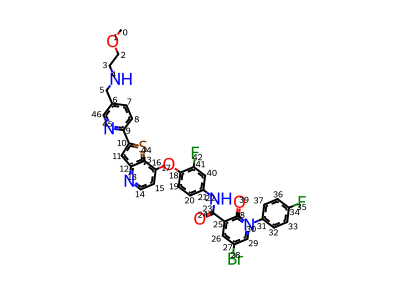 COCCNCc1ccc(-c2cc3nccc(Oc4ccc(NC(=O)c5cc(Br)cn(-c6ccc(F)cc6)c5=O)cc4F)c3s2)nc1